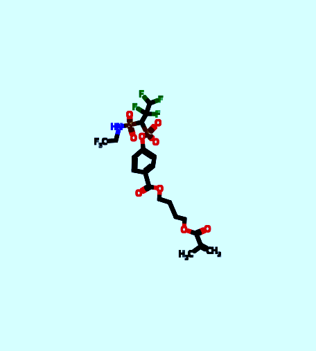 C=C(C)C(=O)OCCCCOC(=O)c1ccc(OS(=O)(=O)C(C(F)(F)C(F)F)S(=O)(=O)NCC(F)(F)F)cc1